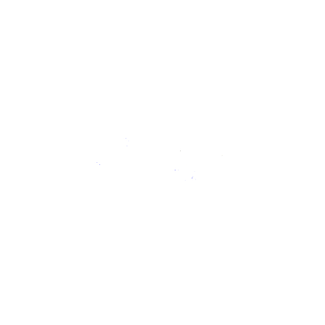 CO[C@@H]1[C@@H](n2cc(-c3ccc(F)c(F)c3F)nn2)[C@@H](O)[C@@H](CO)O[C@@H]1CC1CC(C2CCNCC2)=NO1